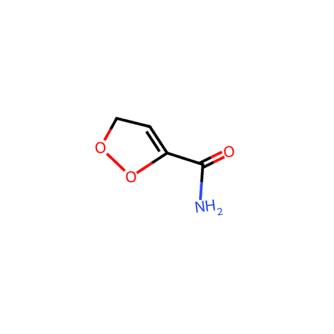 NC(=O)C1=CCOO1